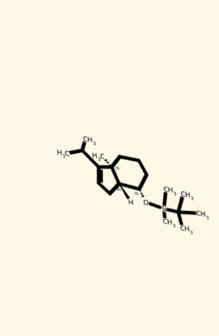 CC(C)C1=CC[C@H]2[C@@H](O[Si](C)(C)C(C)(C)C)CCC[C@]12C